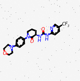 O=C(Nc1ccc(C(F)(F)F)cn1)N[C@@H]1CCCN(c2ccc(N3CCOCC3)cc2)C1=O